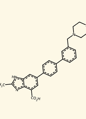 Cc1nc2c(C(=O)O)cc(-c3ccc(-c4cccc(CN5CCSCC5)c4)cc3)cc2[nH]1